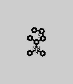 c1ccc(-c2cc(-c3nc(-c4ccccc4)nc(-c4ccccc4)n3)cc(-c3cccc4c3sc3c(-c5ccccc5)cccc34)c2)cc1